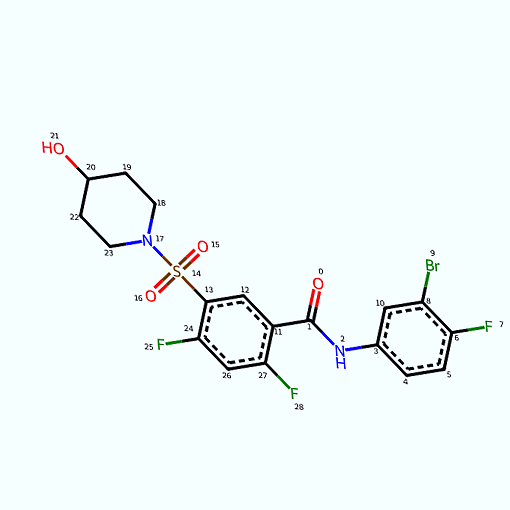 O=C(Nc1ccc(F)c(Br)c1)c1cc(S(=O)(=O)N2CCC(O)CC2)c(F)cc1F